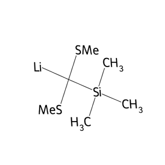 [Li][C](SC)(SC)[Si](C)(C)C